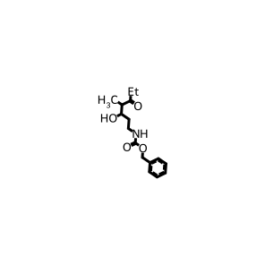 CCC(=O)C(C)C(O)CCNC(=O)OCc1ccccc1